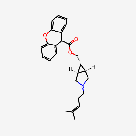 CC(C)=CCCN1C[C@@H]2[C@@H](COC(=O)C3c4ccccc4Oc4ccccc43)[C@@H]2C1